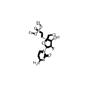 CCOP(=O)(CC[C@@]1(CCl)O[C@@H](n2ccc(N)nc2=O)[C@H](F)[C@@H]1O)OCC